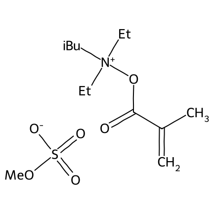 C=C(C)C(=O)O[N+](CC)(CC)C(C)CC.COS(=O)(=O)[O-]